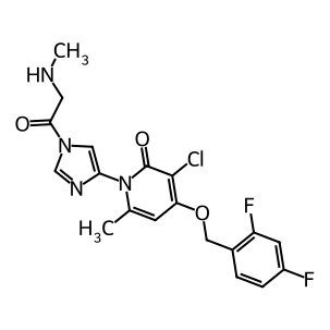 CNCC(=O)n1cnc(-n2c(C)cc(OCc3ccc(F)cc3F)c(Cl)c2=O)c1